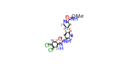 CONC(=O)c1cc(Sc2ccc(NC(=O)Nc3ccc(Cl)c(Cl)c3)cn2)ccn1